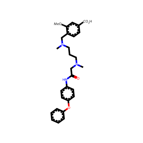 COc1cc(C(=O)O)ccc1CN(C)CCCN(C)CC(=O)Nc1ccc(Oc2ccccc2)cc1